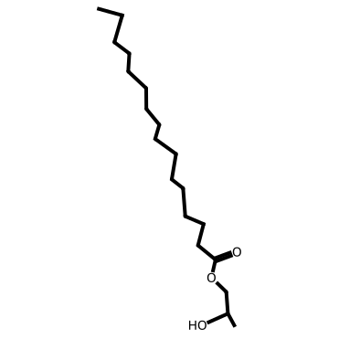 CCCCCCCCCCCCCCCC(=O)OCC(C)O